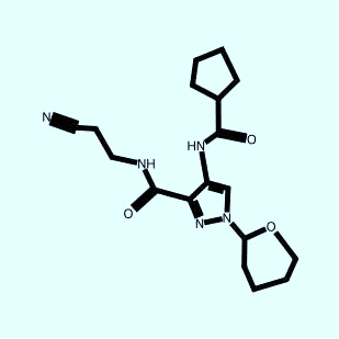 N#CCCNC(=O)c1nn(C2CCCCO2)cc1NC(=O)C1CCCC1